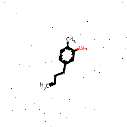 C=CCCc1ccc(C)c(O)c1